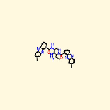 CCC(NC(=O)c1cccc2nc3ccc(C)cc3nc12)C(N)C(CC)NC(=O)c1cccc2nc3ccc(C)cc3nc12